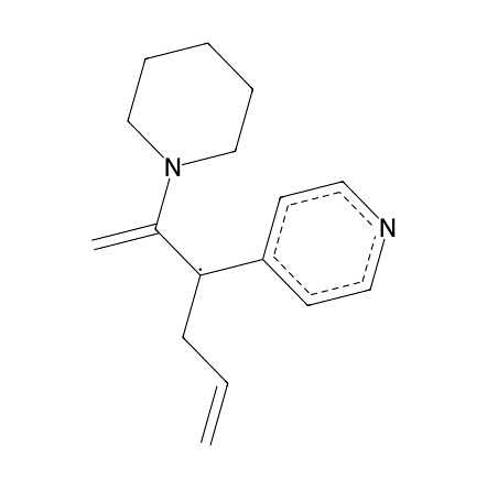 C=CC[C](C(=C)N1CCCCC1)c1ccncc1